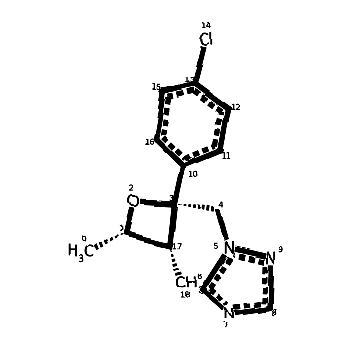 C[C@@H]1O[C@@](Cn2cncn2)(c2ccc(Cl)cc2)[C@@H]1C